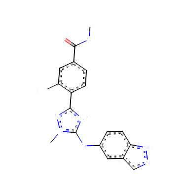 CCNC(=O)c1ccc(-c2nc(Nc3ccc4[nH]ncc4c3)n(C)n2)c(C(F)(F)F)c1